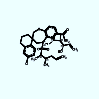 C=CC[C@@H](C)[C@@H](C)S(=O)(=O)[N@@+]1(C[C@@H]2CC[C@H]2[C@@H](O)C=C)CC2(CCCc3cc(Cl)ccc32)COc2ccc(C(N)=O)cc21